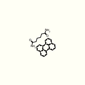 NC(=O)CCCCC(N)=O.c1cc2cccc3c4cccc5cccc(c(c1)c23)c54